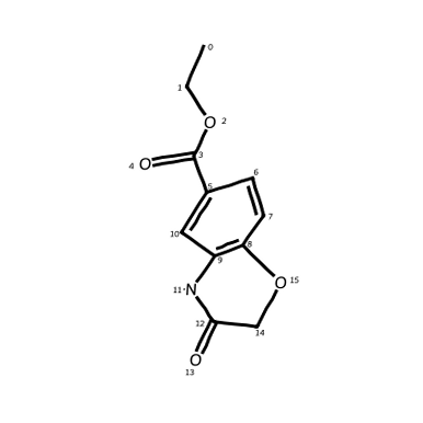 CCOC(=O)c1ccc2c(c1)[N]C(=O)CO2